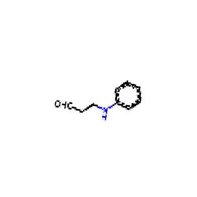 O=CCCNc1cc[c]cc1